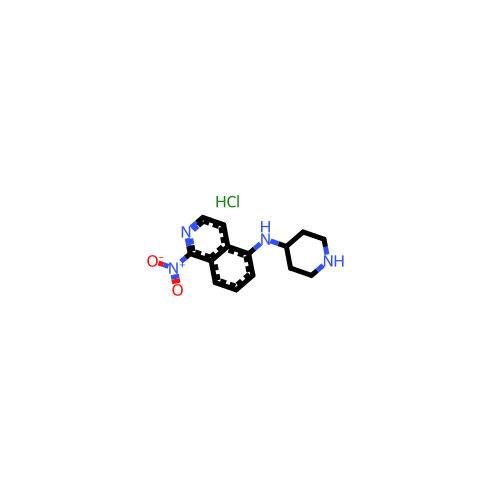 Cl.O=[N+]([O-])c1nccc2c(NC3CCNCC3)cccc12